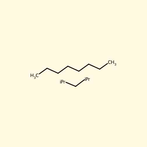 CC(C)CC(C)C.CCCCCCCC